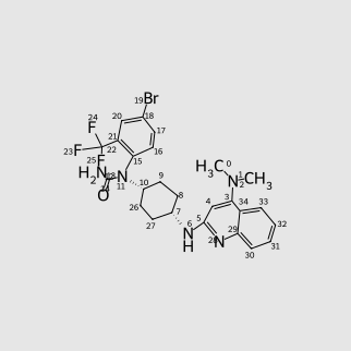 CN(C)c1cc(N[C@H]2CC[C@@H](N(C(N)=O)c3ccc(Br)cc3C(F)(F)F)CC2)nc2ccccc12